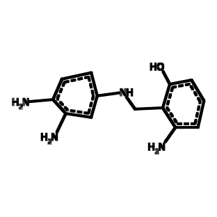 Nc1ccc(NCc2c(N)cccc2O)cc1N